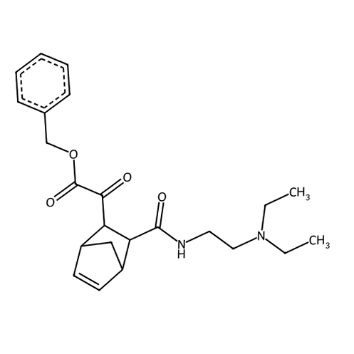 CCN(CC)CCNC(=O)C1C2C=CC(C2)C1C(=O)C(=O)OCc1ccccc1